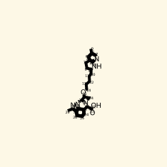 Cc1cnc2c(c1)CCC(CCCCCOC1CN(C(C(=O)O)c3cccc4c(C)nn(C)c34)C1)N2